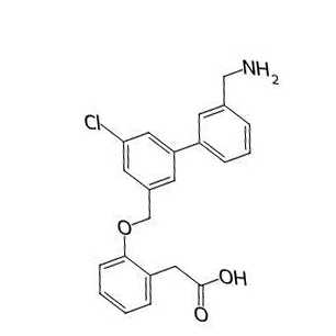 NCc1cccc(-c2cc(Cl)cc(COc3ccccc3CC(=O)O)c2)c1